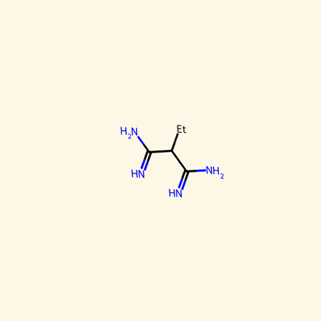 CCC(C(=N)N)C(=N)N